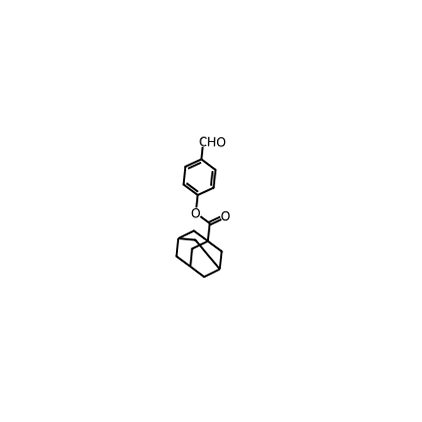 O=Cc1ccc(OC(=O)C23CC4CC(CC(C4)C2)C3)cc1